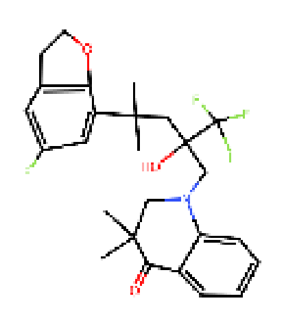 CC1(C)CN(CC(O)(CC(C)(C)c2cc(F)cc3c2OCC3)C(F)(F)F)c2ccccc2C1=O